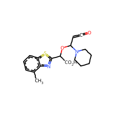 Cc1cccc2sc(C(OC(C=C=O)N3CCCCC3)C(=O)O)nc12